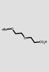 CCCCOCCOCCC(=O)O